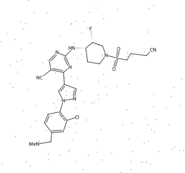 CNCc1ccc(-n2cc(-c3nc(N[C@H]4CCN(S(=O)(=O)CCCC#N)C[C@H]4F)ncc3C#N)cn2)c(Cl)c1